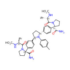 Cc1ccc(N2[C@@H](c3ccc([C@]4(C(N)=O)CCCN4C(=O)[C@@H](NC(=O)O)C(C)C)cc3)CC[C@@H]2c2ccc([C@]3(C(N)=O)CCCN3C(=O)[C@@H](NC(=O)O)C(C)C)cc2)cc1